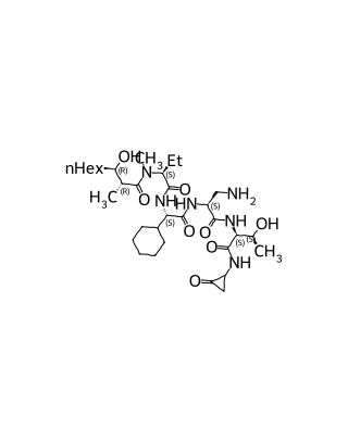 CCCCCC[C@@H](O)[C@@H](C)C(=O)N(C)[C@@H](CC)C(=O)N[C@H](C(=O)N[C@@H](CN)C(=O)N[C@H](C(=O)NC1CC1=O)[C@H](C)O)C1CCCCC1